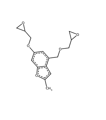 Cc1cc2c(COCC3CO3)cc(OCC3CO3)cc2o1